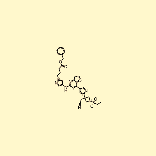 CCS(=O)(=O)N1CC(CC#N)(n2cc(-c3nc(Nc4cnn(CCCC(=O)OCc5ccccc5)c4)nc4ccsc34)cn2)C1